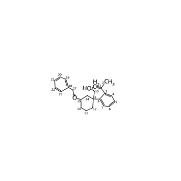 C=C(C)c1ccccc1C1(CO)CCCC(OCc2ccccc2)C1